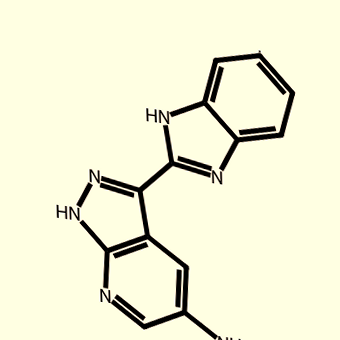 Nc1cnc2[nH]nc(-c3nc4cc[c]cc4[nH]3)c2c1